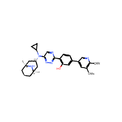 COc1cc(-c2ccc(-c3ncc(N(C4CC4)[C@H]4C[C@]5(C)CCC[C@](C)(C4)N5)nn3)c(O)c2)cnc1OC